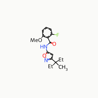 CCC(C)(CC)c1cc(NC(=O)c2c(F)cccc2OC)on1